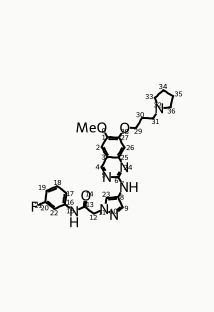 COc1cc2cnc(Nc3cnn(CC(=O)Nc4cccc(F)c4)c3)nc2cc1OCCCN1CCCC1